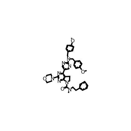 COc1ccc(CN(Cc2ccc(OC)cc2)c2ncc(-c3nc(N4CCOCC4)nc4c3CCN4C(=O)N(C)CCc3ccccc3)cn2)cc1